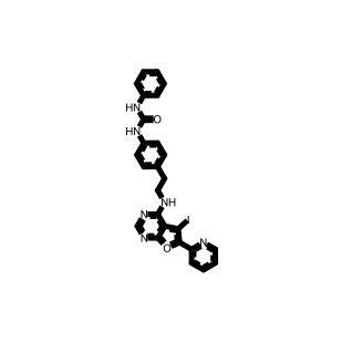 O=C(Nc1ccccc1)Nc1ccc(CCNc2ncnc3oc(-c4ccccn4)c(I)c23)cc1